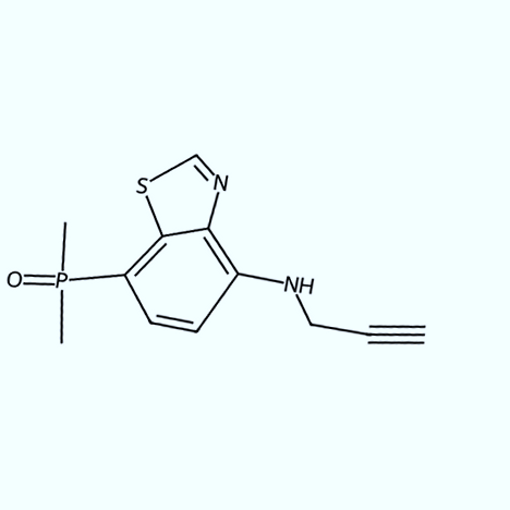 C#CCNc1ccc(P(C)(C)=O)c2scnc12